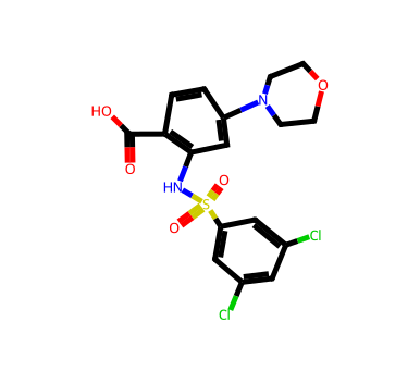 O=C(O)c1ccc(N2CCOCC2)cc1NS(=O)(=O)c1cc(Cl)cc(Cl)c1